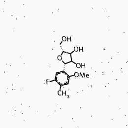 COc1cc(C)c(F)cc1[C@@H]1O[C@H](CO)C(O)C1O